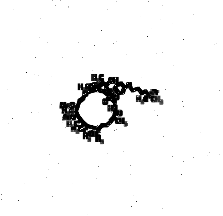 CO[C@H]1/C=C/O[C@@]2(C)Oc3c(C)c(O)c4c(=O)c(c5oc6cc(OCCCC[N+](C)(C)C(C)C)ccc6nc-5c4c3C2=O)NC(=O)/C(C)=C\C=C\[C@H](C)[C@H](O)[C@@H](C)[C@@H](C)[C@@H](C)[C@H](OC(C)=O)[C@@H]1C